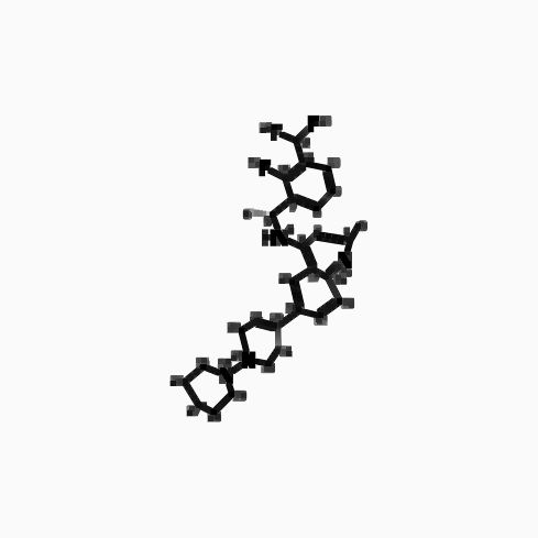 Cc1cc(N[C@H](C)c2cccc(C(F)F)c2F)c2cc(C3=CCN(N4CC[CH]CC4)CC3)ccc2n1